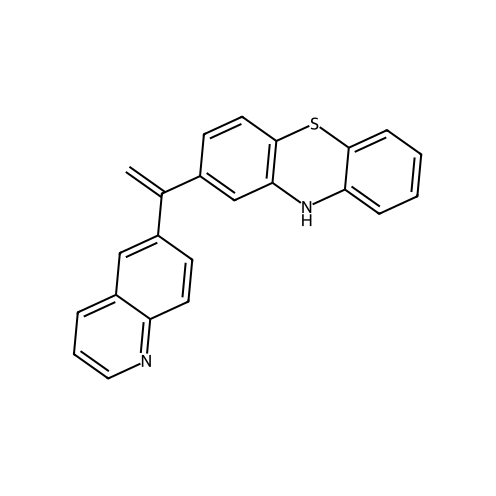 C=C(c1ccc2c(c1)Nc1ccccc1S2)c1ccc2ncccc2c1